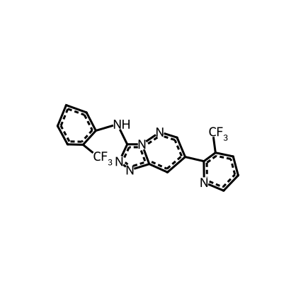 FC(F)(F)c1ccccc1Nc1nnc2cc(-c3ncccc3C(F)(F)F)cnn12